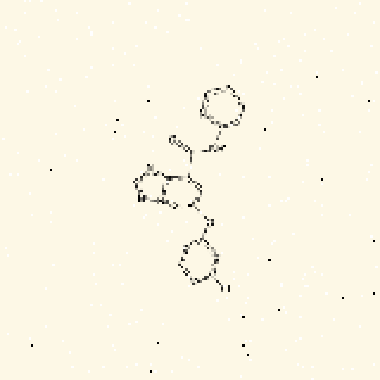 O=C(Nc1ccccn1)c1cc(Oc2cncc(Cl)c2)cn2ncnc12